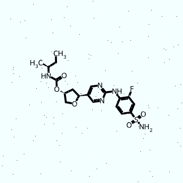 CC[C@H](C)NC(=O)O[C@H]1CO[C@H](c2cnc(Nc3ccc(S(N)(=O)=O)cc3F)nc2)C1